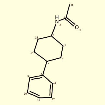 CC(=O)NC1CCC(c2ccccc2)CC1